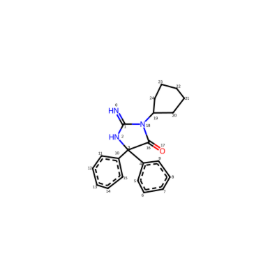 N=C1NC(c2ccccc2)(c2ccccc2)C(=O)N1C1CCCCC1